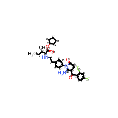 CC[C@H](C)[C@H](NCCc1ccc(-n2c(N)c(C(=O)c3ccc(F)cc3F)ccc2=O)cc1)C(=O)OC1CCCC1